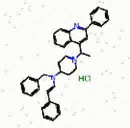 CC(c1cc(-c2ccccc2)nc2ccccc12)N1CCC(N(C=Cc2ccccc2)Cc2ccccc2)CC1.Cl